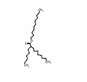 CCCCCCCCCCCOC(=O)C(CCCCCC)CCCCCCCC